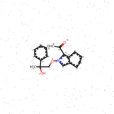 CC(O)(COn1cc2ccccc2c1C(=O)C=O)c1ccccc1